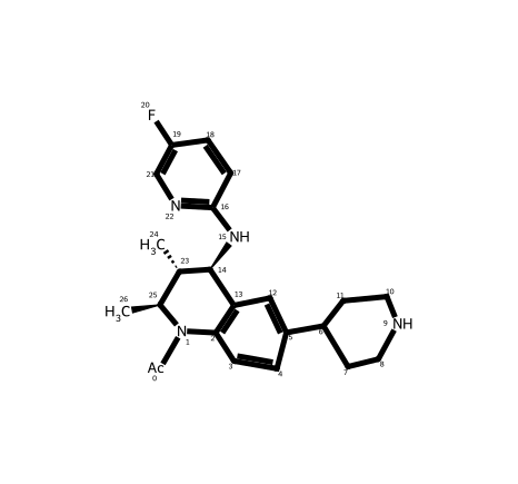 CC(=O)N1c2ccc(C3CCNCC3)cc2[C@H](Nc2ccc(F)cn2)[C@@H](C)[C@@H]1C